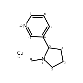 CN1CCCC1c1cccnc1.[Cu]